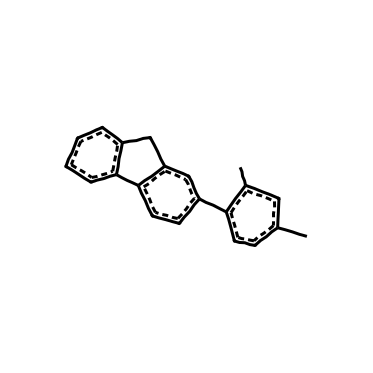 Cc1ccc(-c2ccc3c(c2)Cc2ccccc2-3)c(C)c1